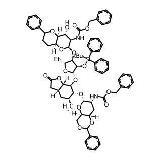 CC[C@H]1O[C@@H](O[C@@H]2[C@H]3OC(=O)C[C@@H]3C[C@H](C)[C@H]2O[C@H]2O[C@@H]3COC(c4ccccc4)O[C@H]3C[C@H]2NC(=O)OCc2ccccc2)[C@H](O[Si](c2ccccc2)(c2ccccc2)C(C)(C)C)[C@@H]1O[C@H]1O[C@H]2CCC(c3ccccc3)O[C@H]2[C@H](O)[C@H]1NC(=O)OCc1ccccc1